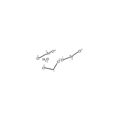 ClCCl.O.[Cl][Zn][Cl].[Cl][Zn][Cl]